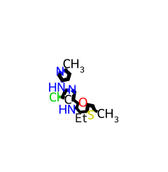 CCC(C(=N)C(=O)c1cnc(Nc2ccc(C)nc2)c(Cl)c1)c1ccc(C)s1